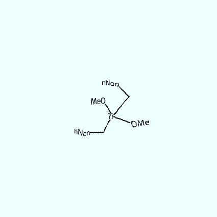 CCCCCCCCC[CH2][Ti]([CH2]CCCCCCCCC)([O]C)[O]C